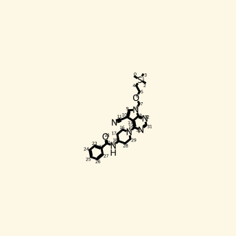 CS(C)(C)CCOCn1cc(C#N)c2c(N3CCC(NC(=O)c4ccccc4)CC3)ncnc21